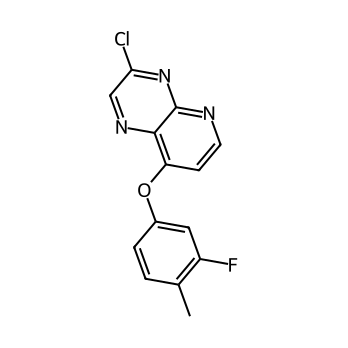 Cc1ccc(Oc2ccnc3nc(Cl)cnc23)cc1F